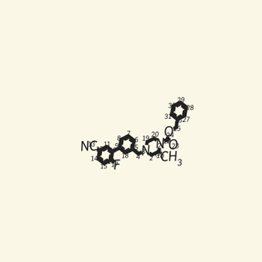 C[C@H]1CN(Cc2cccc(-c3cc(C#N)ccc3F)c2)CCN1C(=O)OCc1ccccc1